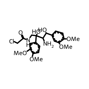 COc1ccc(C(O)C(N)C(O)(CNC(=O)CCl)c2ccc(OC)c(OC)c2)cc1OC